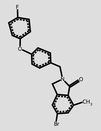 Cc1cc(Br)cc2c1C(=O)N(Cc1ccc(Oc3ccc(F)cc3)cc1)C2